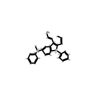 C/C=C\c1c(/C=C/C(C)C)c2cc(N(C)c3ccccc3)ccc2n1-c1ccccc1